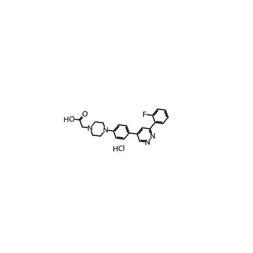 Cl.O=C(O)CN1CCN(c2ccc(-c3cnnc(-c4ccccc4F)c3)cc2)CC1